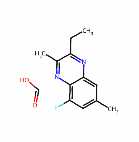 CCc1nc2cc(C)cc(F)c2nc1C.O=CO